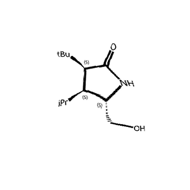 CC(C)[C@@H]1[C@@H](CO)NC(=O)[C@@H]1C(C)(C)C